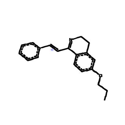 CCCOc1ccc2c(c1)CCN=C2/C=C/c1ccccc1